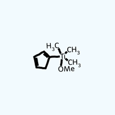 C[O][Ti]([CH3])([CH3])([CH3])[C]1=CC=CC1